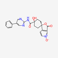 O=C1O[C@]2(CC[C@@](O)(C(=O)Nc3ncc(-c4ccccc4)cn3)CC2)c2cc[n+]([O-])cc21